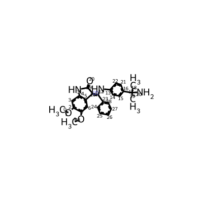 COc1cc2c(cc1OC)/C(=C(/Nc1ccc(C(C)(C)N)cc1)c1ccccc1)C(=O)N2